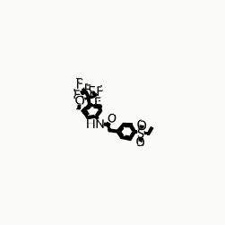 CCS(=O)(=O)c1ccc(CC(=O)Nc2ccc(C(OC)(C(F)(F)F)C(F)(F)F)cc2)cc1